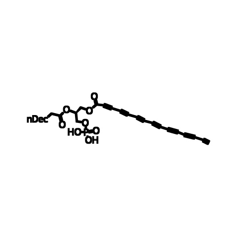 C#CC#CC#CC#CC#CC#CC#CC(=O)OC[C@@H](COP(=O)(O)O)OC(=O)CCCCCCCCCCC